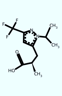 CC(C)n1nc(C(F)(F)F)cc1C[C@@H](C)C(=O)O